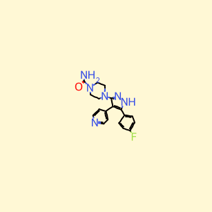 NC(=O)N1CCN(c2n[nH]c(-c3ccc(F)cc3)c2-c2ccncc2)CC1